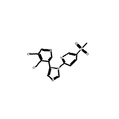 CS(=O)(=O)c1ccc(-n2cncc2-c2cncc(Cl)c2Cl)nc1